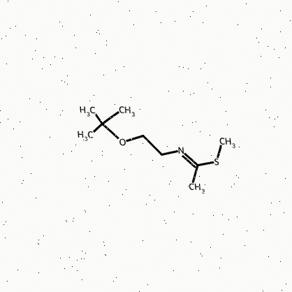 CSC(C)=NCCOC(C)(C)C